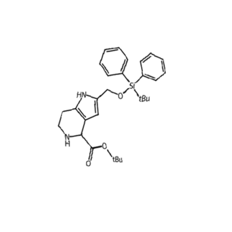 CC(C)(C)OC(=O)C1NCCc2[nH]c(CO[Si](c3ccccc3)(c3ccccc3)C(C)(C)C)cc21